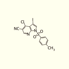 Cc1ccc(S(=O)(=O)n2cc(I)c3c(Cl)c(C#N)cnc32)cc1